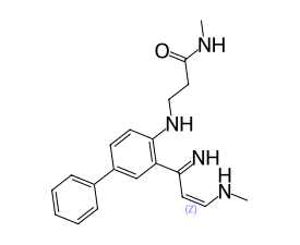 CN/C=C\C(=N)c1cc(-c2ccccc2)ccc1NCCC(=O)NC